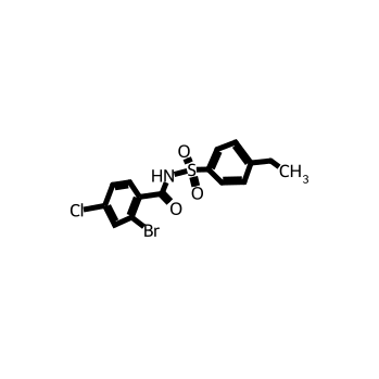 CCc1ccc(S(=O)(=O)NC(=O)c2ccc(Cl)cc2Br)cc1